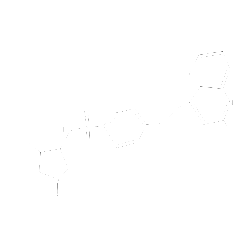 CC(=O)N1CC(NS(=O)(=O)c2ccc(OCc3cc(C)nc4ccccc34)cc2)C(C(=O)O)C1